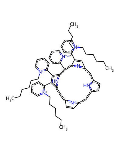 CCCCCC[n+]1ccccc1C1=Cc2cc3ccc(cc4nc(cc5[nH]c(c(-c6cccc[n+]6CCCCCC)c1n2)c(-c1cccc[n+]1CCCCCC)c5-c1cccc[n+]1CCCCCC)C=C4)[nH]3